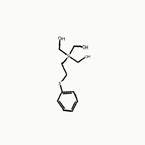 OC[Si](CO)(CO)CCSc1ccccc1